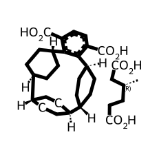 C[C@H](CCC(=O)O)CC(=O)O.O=C(O)c1ccc(C(=O)O)c2c1[C@H]1CC[C@@H](CC1)[C@H]1CC[C@@H](CC1)[C@H]1CC[C@H]2CC1